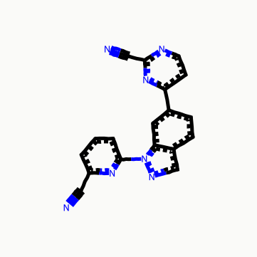 N#Cc1cccc(-n2ncc3ccc(-c4ccnc(C#N)n4)cc32)n1